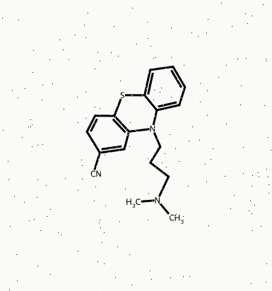 CN(C)CCCN1c2ccccc2Sc2ccc(C#N)cc21